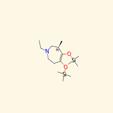 CCN1CCC(O[Si](C)(C)C)=C(O[Si](C)(C)C)[C@H](C)C1